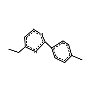 CCc1c[c]nc(-c2ccc(C)cc2)n1